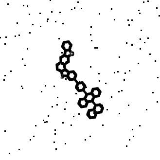 c1ccc2c(-c3c4ccccc4c(-c4ccc(-c5ccc6c(c5)sc5ccc7cc8c(cc7c56)oc5ccccc58)cc4)c4ccccc34)cccc2c1